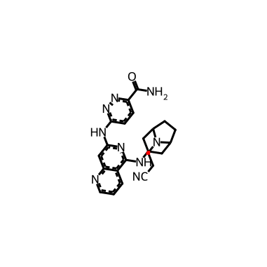 N#CCCN1C2CCC1CC(Nc1nc(Nc3ccc(C(N)=O)nn3)cc3ncccc13)C2